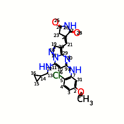 COc1ccc(Cl)c(Nc2cc(NCC3CC3)n3ncc(C=C4CC(=O)NC4=O)c3n2)c1